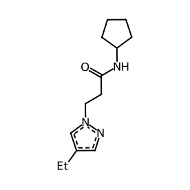 CCc1cnn(CCC(=O)NC2CCCC2)c1